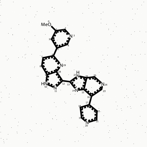 COc1cncc(-c2ccc3[nH]nc(-c4nc5c(-c6ccncc6)cncc5[nH]4)c3n2)c1